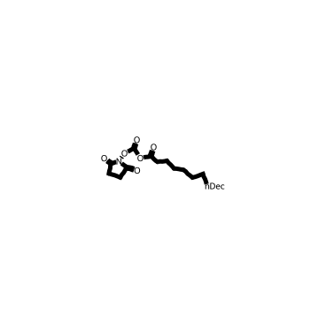 CCCCCCCCCCCCCCCCC(=O)OC(=O)ON1C(=O)CCC1=O